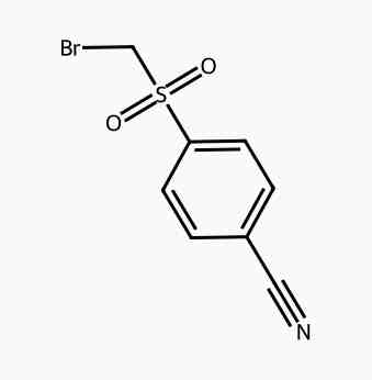 N#Cc1ccc(S(=O)(=O)CBr)cc1